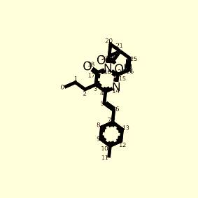 CCCc1c(/C=C/c2ccc(C)cc2)nc2n(c1=O)C1CC1(C(=O)O)C=C2